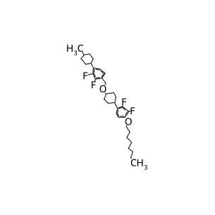 CCCCCCCCOc1ccc(C2CCC(OCc3ccc(C4CCC(C)CC4)c(F)c3F)CC2)c(F)c1F